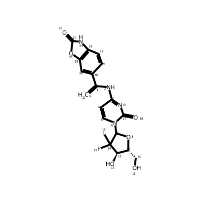 C=C(Nc1ccn(C2O[C@H](CO)[C@@H](O)C2(F)I)c(=O)n1)c1ccc2[nH]c(=O)oc2c1